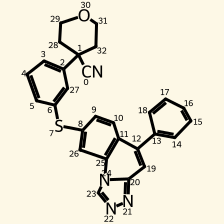 N#CC1(c2cccc(Sc3ccc4c(-c5ccccc5)cc5nncn5c4c3)c2)CCOCC1